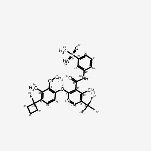 COc1c(Oc2nnc(C(F)(F)F)c(C)c2C(=O)Nc2cccc(S(C)(=N)=O)c2)ccc(C2(F)CCC2)c1C